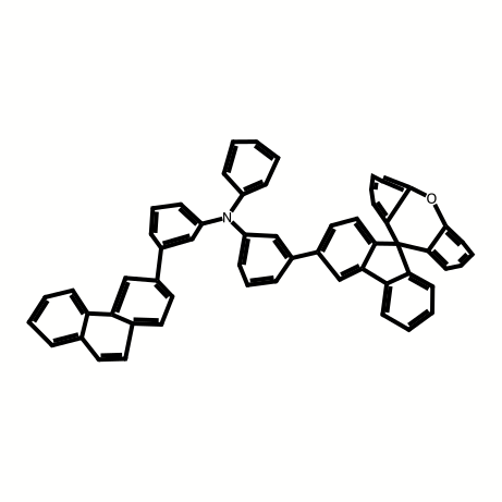 c1ccc(N(c2cccc(-c3ccc4c(c3)-c3ccccc3C43c4ccccc4Oc4ccccc43)c2)c2cccc(-c3ccc4ccc5ccccc5c4c3)c2)cc1